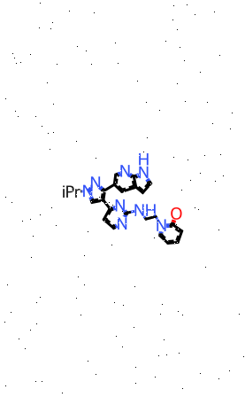 CC(C)n1cc(-c2ccnc(NCCn3ccccc3=O)n2)c(-c2cnc3[nH]ccc3c2)n1